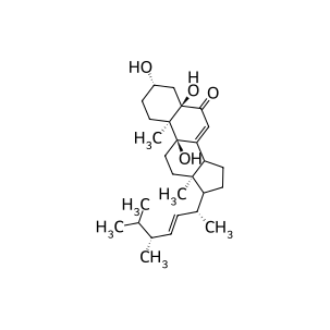 CC(C)[C@@H](C)/C=C/[C@@H](C)C1CCC2C3=CC(=O)[C@@]4(O)C[C@@H](O)CC[C@]4(C)[C@@]3(O)CC[C@@]21C